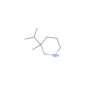 CC(C)C1(C)CCCNC1